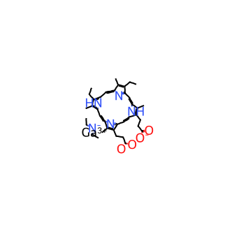 CCC1=C(C)c2cc3[nH]c(cc4nc(cc5[nH]c(cc1n2)c(C)c5CCC(=O)[O-])C(CCC(=O)[O-])=C4C)c(C)c3CC.CC[N-]CC.[Ga+3]